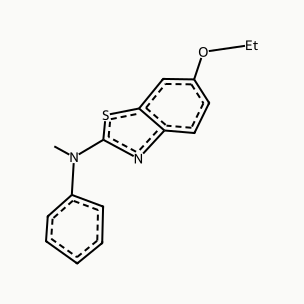 CCOc1ccc2nc(N(C)c3ccccc3)sc2c1